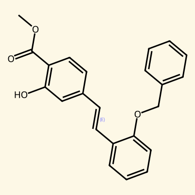 COC(=O)c1ccc(/C=C/c2ccccc2OCc2ccccc2)cc1O